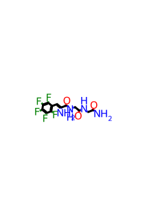 NC(=O)CNC(=O)CNC(=O)C(N)=Cc1c(F)c(F)c(F)c(F)c1F